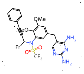 COc1cc(Cc2cnc(N)nc2N)cc(N(C(C#Cc2ccccc2)C(C)C)S(=O)(=O)C(F)(F)F)c1OC